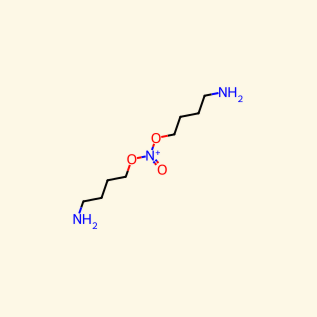 NCCCCO[N+](=O)OCCCCN